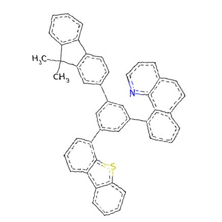 CC1(C)c2ccccc2-c2ccc(-c3cc(-c4cccc5c4sc4ccccc45)cc(-c4cccc5ccc6cccnc6c45)c3)cc21